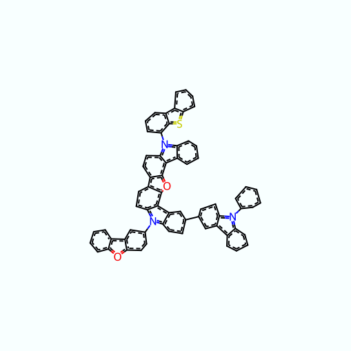 c1ccc(-n2c3ccccc3c3cc(-c4ccc5c(c4)c4c6oc7c(ccc8c7c7ccccc7n8-c7cccc8c7sc7ccccc78)c6ccc4n5-c4ccc5oc6ccccc6c5c4)ccc32)cc1